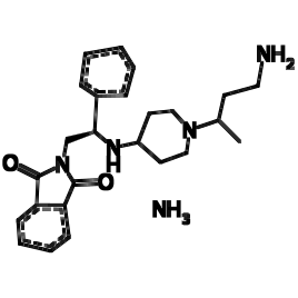 CC(CCN)N1CCC(N[C@@H](CN2C(=O)c3ccccc3C2=O)c2ccccc2)CC1.N